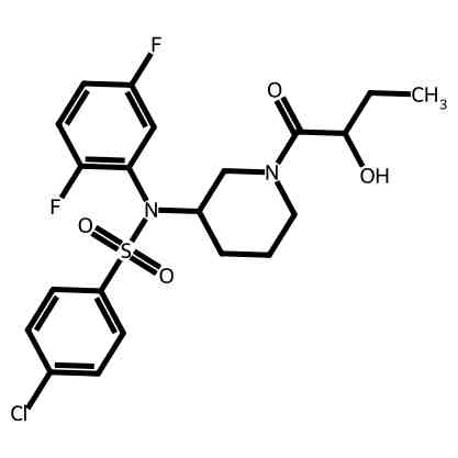 CCC(O)C(=O)N1CCCC(N(c2cc(F)ccc2F)S(=O)(=O)c2ccc(Cl)cc2)C1